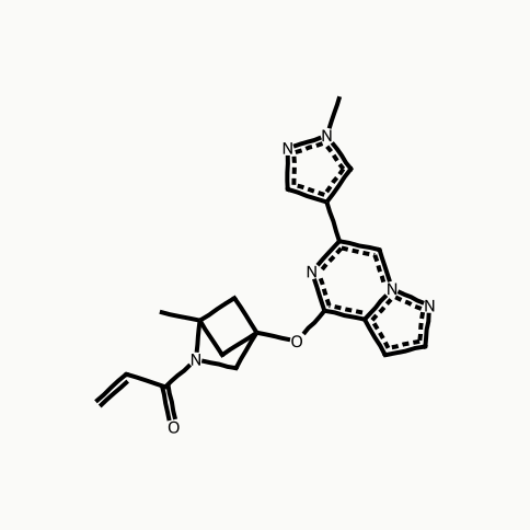 C=CC(=O)N1CC2(Oc3nc(-c4cnn(C)c4)cn4nccc34)CC1(C)C2